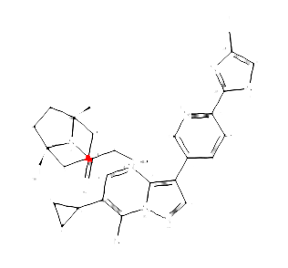 Nc1c(C2CC2)c([C@H]2C[C@H]3CC[C@@H](C2)N3C(=O)CO)nc2c(-c3ccc(-c4nc(F)c[nH]4)nc3)cnn12